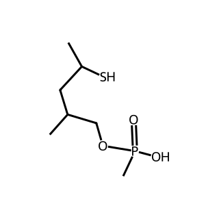 CC(S)CC(C)COP(C)(=O)O